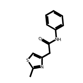 Cc1nc(CC(=O)Nc2ccccc2)cs1